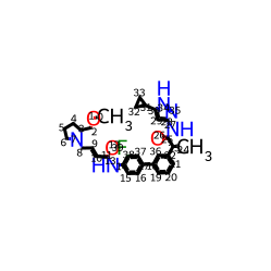 COCC1CCCN1C/C=C/C(=O)Nc1ccc(-c2cccc(C(C)C(=O)Nc3cc(C4CC4)[nH]n3)c2)cc1F